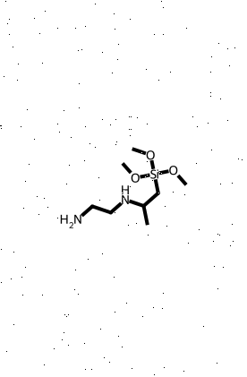 CO[Si](CC(C)NCCN)(OC)OC